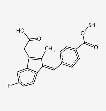 CC1=C(CC(=O)O)c2cc(F)ccc2/C1=C/c1ccc(C(=O)OS)cc1